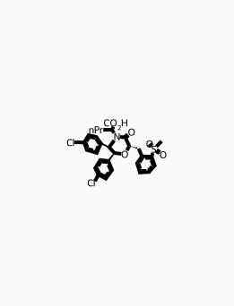 CCCC(C(=O)O)N1C(=O)[C@H](Cc2ccccc2S(C)(=O)=O)O[C@@H](c2ccc(Cl)cc2)[C@H]1c1ccc(Cl)cc1